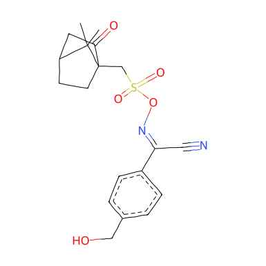 CC1(C)C2CCC1(CS(=O)(=O)O/N=C(\C#N)c1ccc(CO)cc1)C(=O)C2